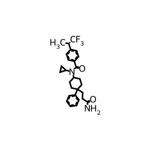 C[C@H](c1ccc(C(=O)N(C2CC2)C2CCC(CCC(N)=O)(c3ccccc3)CC2)cc1)C(F)(F)F